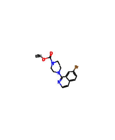 CC(C)(C)OC(=O)N1CCN(c2nccc3ccc(Br)cc23)CC1